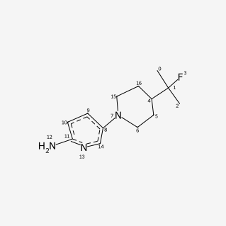 CC(C)(F)C1CCN(c2ccc(N)nc2)CC1